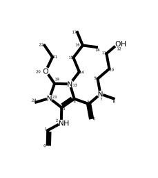 C=CNC1=C(C(=C)N(C)CCCO)N(CCC(C)C)C(OCC)N1C